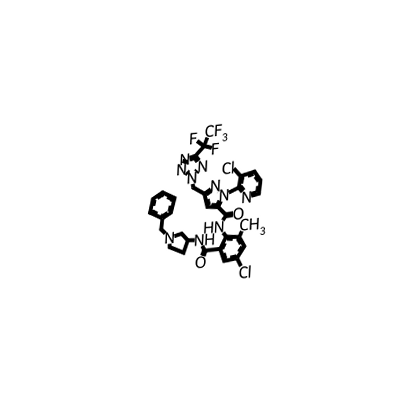 Cc1cc(Cl)cc(C(=O)NC2CCN(Cc3ccccc3)C2)c1NC(=O)c1cc(Cn2nnc(C(F)(F)C(F)(F)F)n2)nn1-c1ncccc1Cl